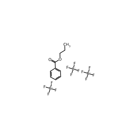 CCCOC(=O)c1ccccc1.F[B-](F)(F)F.F[B-](F)(F)F.F[B-](F)(F)F